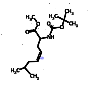 COC(=O)C(C/C=C\CC(C)C)NC(=O)OC(C)(C)C